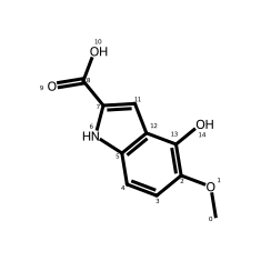 COc1ccc2[nH]c(C(=O)O)cc2c1O